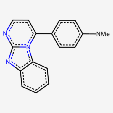 CNc1ccc(-c2ccnc3nc4ccccc4n23)cc1